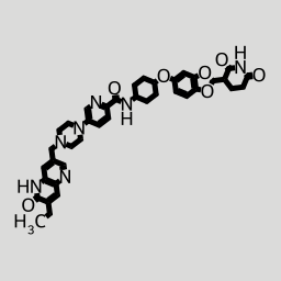 CCc1cc2ncc(CN3CCN(c4ccc(C(=O)NC5CCC(Oc6ccc7c(c6)OC(C6CCC(=O)NC6=O)O7)CC5)nc4)CC3)cc2[nH]c1=O